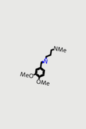 CNCCCN=Cc1ccc(OC)c(OC)c1